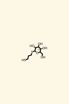 OCC1OC(SCCCS)C(O)C(O)[C@H]1O